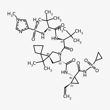 C=C[C@@H]1C[C@]1(NC(=O)[C@@H]1C[C@@]2(CN1C(=O)[C@@H](NC(=O)[C@@H](NS(=O)(=O)c1cn(C)cn1)C(C)(C)C)C(C)(C)C)C(C)(C)C21CCC1)C(=O)NS(=O)(=O)C1CC1